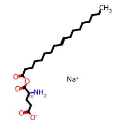 CCCCCCCCC=CCCCCCCCC(=O)OC(=O)[C@@H](N)CCC(=O)[O-].[Na+]